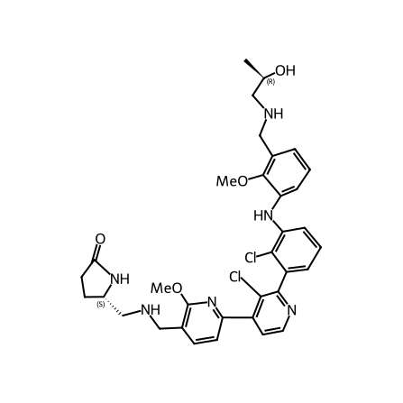 COc1nc(-c2ccnc(-c3cccc(Nc4cccc(CNC[C@@H](C)O)c4OC)c3Cl)c2Cl)ccc1CNC[C@@H]1CCC(=O)N1